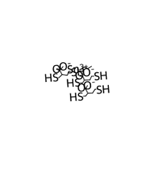 CCC[CH2][Sn+3].O=C([O-])C(CS)CCS.O=C([O-])C(CS)CCS.O=C([O-])C(CS)CCS